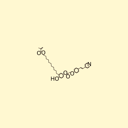 C=C(C)C(=O)OCCCCCCCCCCCc1cc(OC(=O)COc2ccc(C=Cc3ccncc3)cc2)ccc1O